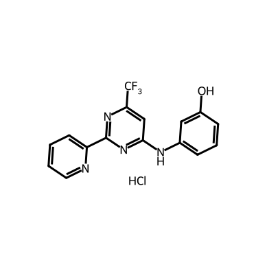 Cl.Oc1cccc(Nc2cc(C(F)(F)F)nc(-c3ccccn3)n2)c1